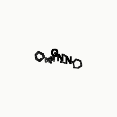 O=C([C@H]1C[C@@H]1c1ccccc1)N1CCN(C2CCCCC2)CC1